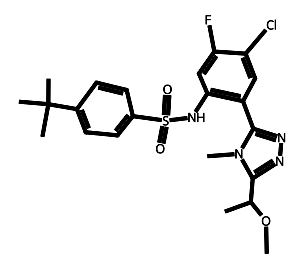 COC(C)c1nnc(-c2cc(Cl)c(F)cc2NS(=O)(=O)c2ccc(C(C)(C)C)cc2)n1C